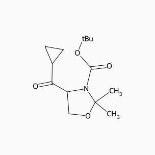 CC(C)(C)OC(=O)N1C(C(=O)C2CC2)COC1(C)C